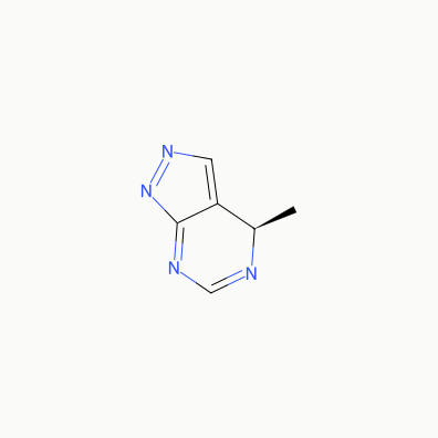 C[C@H]1N=CN=C2N=NC=C21